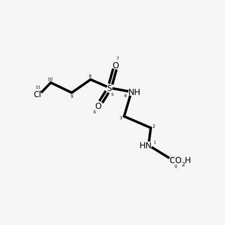 O=C(O)NCCNS(=O)(=O)CCCCl